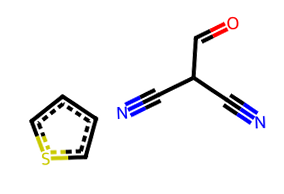 N#CC(C#N)C=O.c1ccsc1